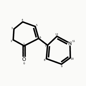 O=C1CCCC=C1c1cccnc1